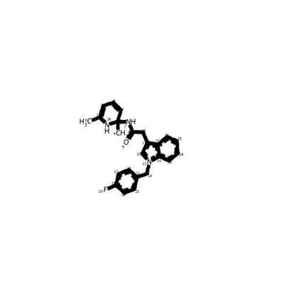 CC1=CC=CC(C)(NC(=O)Cc2cn(Cc3ccc(F)cc3)c3ccccc23)N1